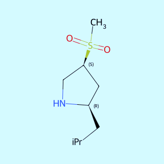 CC(C)C[C@@H]1C[C@H](S(C)(=O)=O)CN1